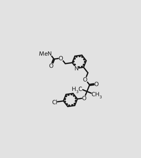 CNC(=O)OCc1cccc(COC(=O)C(C)(C)Oc2ccc(Cl)cc2)n1